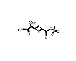 CS(=O)(=O)OC(=O)C1SC(=C(C(N)=O)C(=O)O)S1